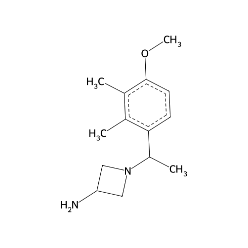 COc1ccc(C(C)N2CC(N)C2)c(C)c1C